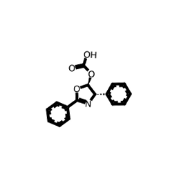 O=C(O)O[C@@H]1OC(c2ccccc2)=N[C@H]1c1ccccc1